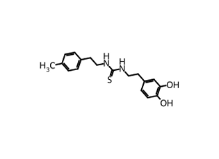 Cc1ccc(CCNC(=S)NCCc2ccc(O)c(O)c2)cc1